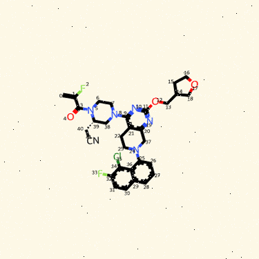 C=C(F)C(=O)N1CCN(c2nc(OCC3CCOC3)nc3c2CCN(c2cccc4ccc(F)c(Cl)c24)C3)C[C@@H]1CC#N